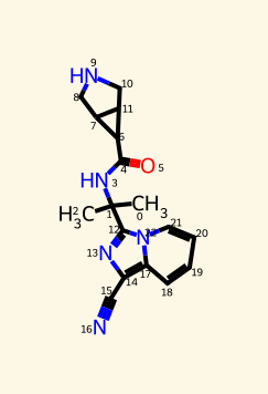 CC(C)(NC(=O)C1C2CNCC21)c1nc(C#N)c2ccccn12